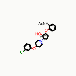 CC(=O)Nc1ccccc1O[C@H]1CC[C@H](N2CCC(Oc3cccc(Cl)c3)CC2)[C@H]1O